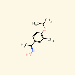 CC(=NO)c1ccc(OC(C)C)c(C)c1